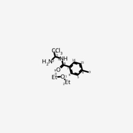 CCOCC.Cc1ccc(C(=O)NC(N)C(Cl)(Cl)Cl)cc1